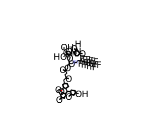 COC(=O)c1cc(CC(=O)CCC(=O)OCC(CO[C@H]2[C@@H](O)[C@@H](CO)O[C@H]2n2ccc(=O)[nH]c2=O)O/C=C/CC(F)(F)C(F)(F)C(F)(F)C(F)(F)C(F)(F)C(F)(F)F)ccc1-c1c2ccc(=O)cc-2oc2cc(O)ccc12